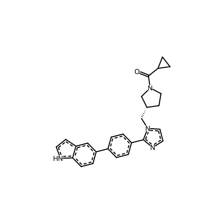 O=C(C1CC1)N1CC[C@H](Cn2ccnc2-c2ccc(-c3ccc4[nH]ccc4c3)cc2)C1